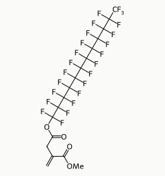 C=C(CC(=O)OC(F)(F)C(F)(F)C(F)(F)C(F)(F)C(F)(F)C(F)(F)C(F)(F)C(F)(F)C(F)(F)C(F)(F)C(F)(F)C(F)(F)F)C(=O)OC